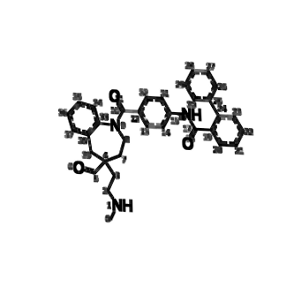 CNCCC1(C=O)CCN(C(=O)c2ccc(NC(=O)c3ccccc3-c3ccccc3)cc2)c2ccccc2C1